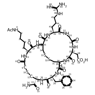 CC(=O)NCCCC[C@@H]1NC(=O)CSC[C@@H](C(N)=O)NC(=O)[C@H](Cc2ccccc2)NC(=O)[C@@H]2CSSC[C@H](NC1=O)C(=O)N[C@@H](CCCNC(=N)N)C(=O)NCC(=O)N[C@@H](CC(=O)O)C(=O)N2